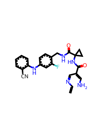 C=C/N=C\C(=C/N)C(=O)NC1(C(=O)NCc2ccc(Nc3ccccc3C#N)cc2F)CC1